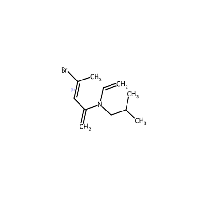 C=CN(CC(C)C)C(=C)/C=C(\C)Br